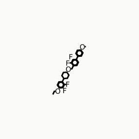 CCOc1ccc(C2CCC(OCc3ccc(-c4ccc(OC)cc4)c(F)c3F)CC2)c(F)c1F